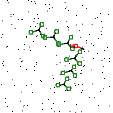 CO.ClC(Cl)Cl.ClC(Cl)Cl.ClC(Cl)Cl.ClC(Cl)Cl.ClC(Cl)Cl.ClC(Cl)Cl